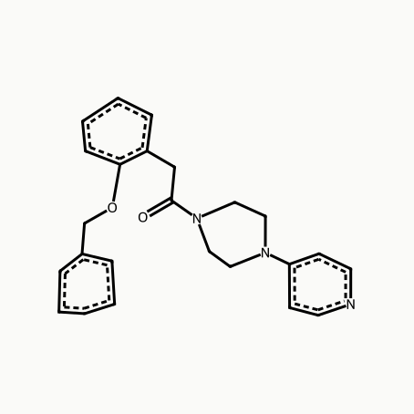 O=C(Cc1ccccc1OCc1ccccc1)N1CCN(c2ccncc2)CC1